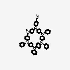 N#Cc1ccc(N(c2ccccc2)c2ccc(N(c3ccccc3)c3ccc(N(c4ccccc4)c4ccc(N(c5ccccc5)c5ccc(N(c6ccccc6)c6ccc(C#N)cc6)cc5)cc4)cc3)cc2)cc1